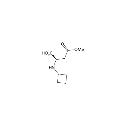 COC(=O)C[C@@H](NC1CCC1)C(=O)O